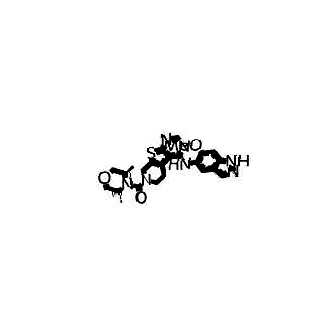 COc1cc2[nH]ncc2cc1Nc1ncnc2sc3c(c12)CCN(C(=O)N1[C@H](C)COC[C@H]1C)C3